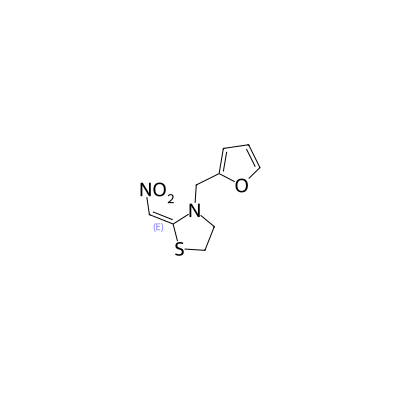 O=[N+]([O-])/C=C1/SCCN1Cc1ccco1